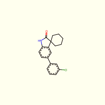 O=C1Nc2ccc(-c3cccc(Cl)c3)cc2C12CCCCC2